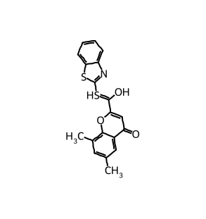 Cc1cc(C)c2oc(C(O)=[SH]c3nc4ccccc4s3)cc(=O)c2c1